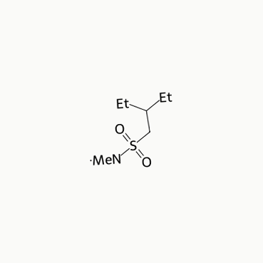 CCC(CC)CS(=O)(=O)[N]C